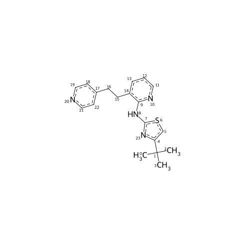 CC(C)(C)c1csc(Nc2ncccc2CCc2ccncc2)n1